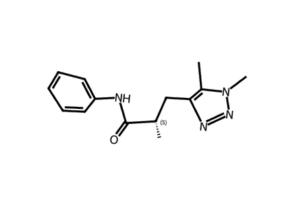 Cc1c(C[C@H](C)C(=O)Nc2ccccc2)nnn1C